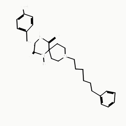 CCCN1C(=O)[C@H](Cc2ccc(O)cc2)NC(=O)C12CCN(CCCCCCc1ccccc1)CC2